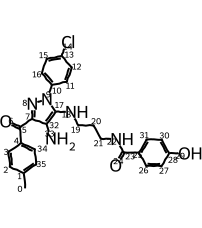 Cc1ccc(C(=O)c2nn(-c3ccc(Cl)cc3)c(NCCCNC(=O)c3ccc(O)cc3)c2N)cc1